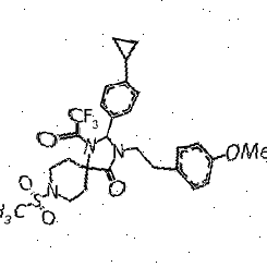 COc1ccc(CCN2C(=O)C3(CCN(S(C)(=O)=O)CC3)N(C(=O)C(F)(F)F)C2c2ccc(C3CC3)cc2)cc1